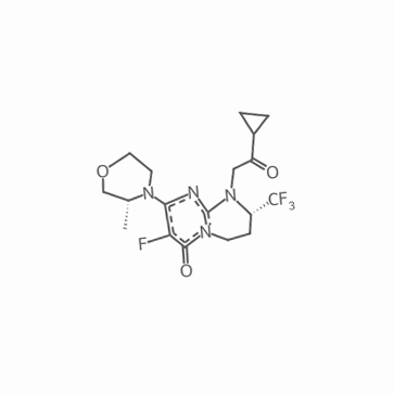 C[C@@H]1COCCN1c1nc2n(c(=O)c1F)CC[C@@H](C(F)(F)F)N2CC(=O)C1CC1